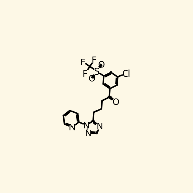 O=C(CCCc1ncnn1-c1ccccn1)c1cc(Cl)cc(S(=O)(=O)C(F)(F)F)c1